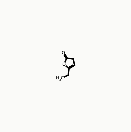 CCC1=CCC(=O)O1